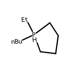 CCCC[PH]1(CC)CCCC1